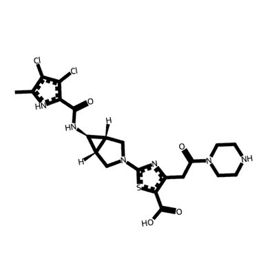 Cc1[nH]c(C(=O)N[C@H]2[C@@H]3CN(c4nc(CC(=O)N5CCNCC5)c(C(=O)O)s4)C[C@@H]32)c(Cl)c1Cl